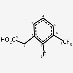 O=C(O)Cc1cccc(C(F)(F)F)c1F